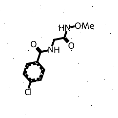 CONC(=O)CNC(=O)c1ccc(Cl)cc1